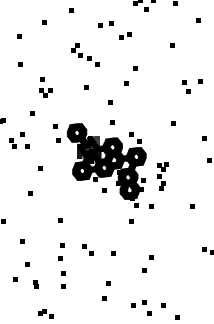 c1ccc(-c2nc(-c3ccccc3)nc(-c3ccccc3-c3ccc4cc(-c5ccccc5-c5ccc6ccccc6c5)ccc4c3)n2)cc1